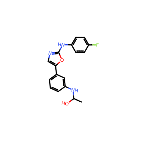 CC(O)Nc1cccc(-c2cnc(Nc3ccc(F)cc3)o2)c1